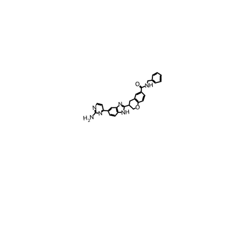 Nc1nccc(-c2ccc3[nH]c(C4COc5ccc(C(=O)NCc6ccccc6)cc5C4)nc3c2)n1